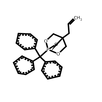 C=CCC12CO[P](C(c3ccccc3)(c3ccccc3)c3ccccc3)(OC1)OC2